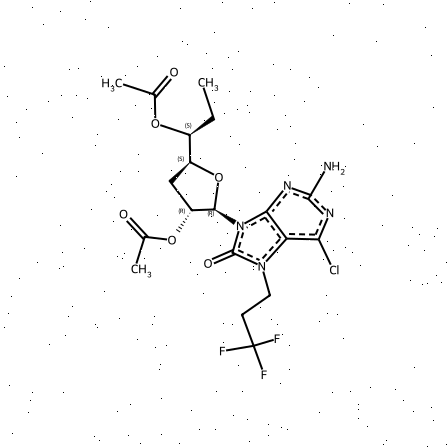 CC[C@H](OC(C)=O)[C@@H]1C[C@@H](OC(C)=O)[C@H](n2c(=O)n(CCC(F)(F)F)c3c(Cl)nc(N)nc32)O1